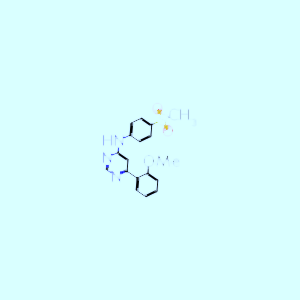 COc1ccccc1-c1cc(Nc2ccc(S(C)(=O)=O)cc2)ncn1